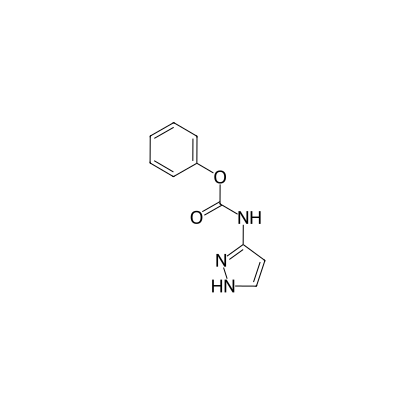 O=C(Nc1cc[nH]n1)Oc1ccccc1